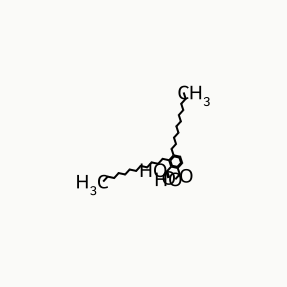 CCCCCCCCCCCCc1c(CCCCCCCCCCC)ccc(C(=O)O)c1C(=O)O